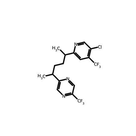 CC(CCC(C)c1cc(C(F)(F)F)c(Cl)cn1)c1cnc(C(F)(F)F)cn1